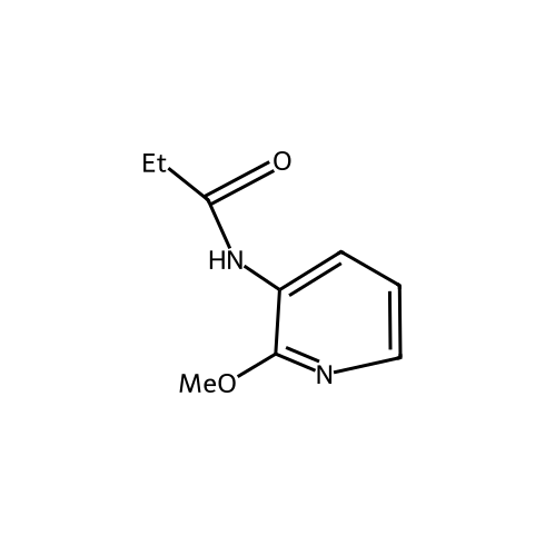 CCC(=O)Nc1cccnc1OC